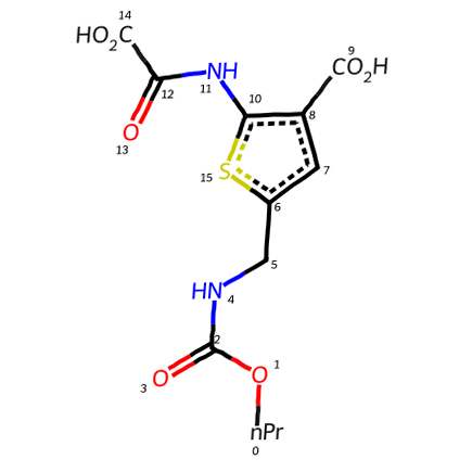 CCCOC(=O)NCc1cc(C(=O)O)c(NC(=O)C(=O)O)s1